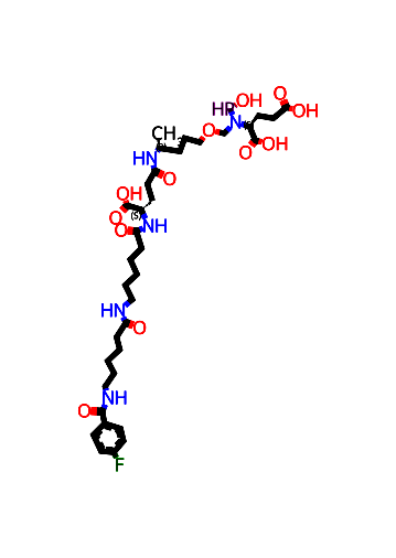 C[C@H](CCCOCN(PO)[C@@H](CCC(=O)O)C(=O)O)NC(=O)CC[C@H](NC(=O)CCCCCNC(=O)CCCCCNC(=O)c1ccc(F)cc1)C(=O)O